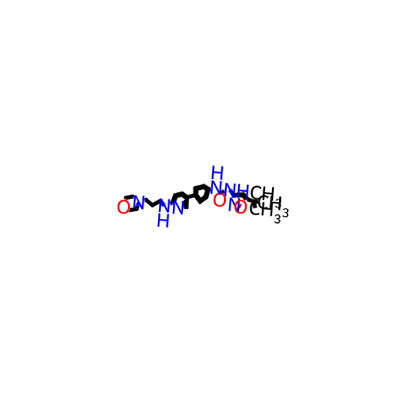 CC(C)(C)c1cc(NC(=O)Nc2ccc(-c3ccc(NCCCN4CCOCC4)nc3)cc2)no1